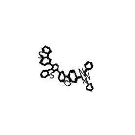 c1ccc(-c2nc(-c3ccccc3)nc(-c3ccc4c(c3)oc3ccc(-c5ccc(-c6ccc7sc8ccccc8c7c6)c6c5sc5ccccc56)cc34)n2)cc1